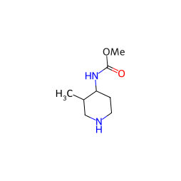 COC(=O)NC1CCNCC1C